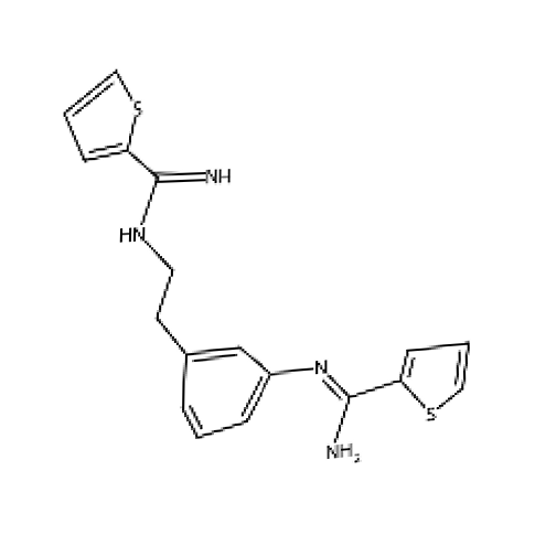 N=C(NCCc1cccc(N=C(N)c2cccs2)c1)c1cccs1